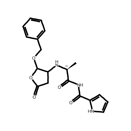 C[C@H](NC1CC(=O)OC1OCc1ccccc1)C(=O)NC(=O)c1ccc[nH]1